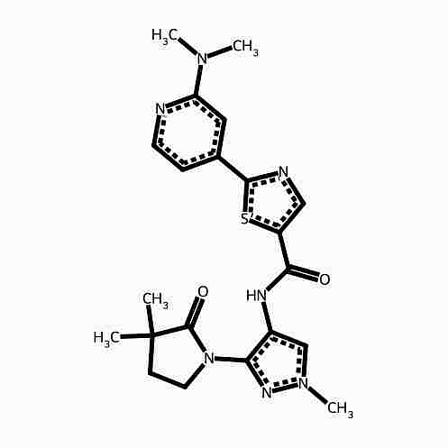 CN(C)c1cc(-c2ncc(C(=O)Nc3cn(C)nc3N3CCC(C)(C)C3=O)s2)ccn1